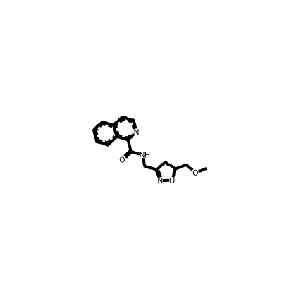 COCC1CC(CNC(=O)c2nccc3ccccc23)=NO1